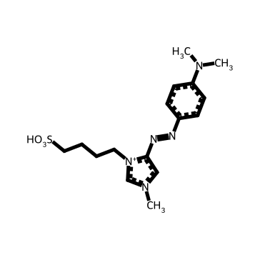 CN(C)c1ccc(/N=N/c2cn(C)c[n+]2CCCCS(=O)(=O)O)cc1